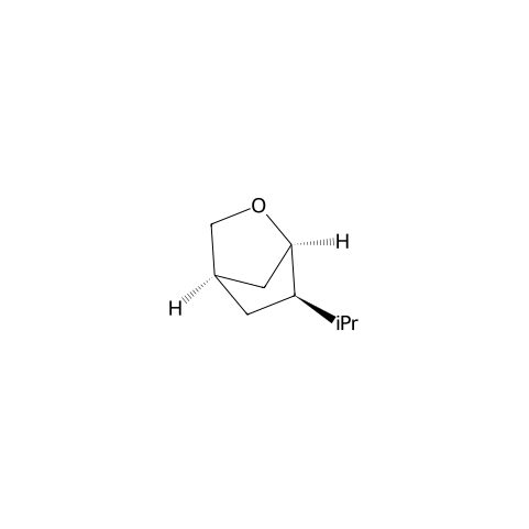 CC(C)[C@H]1C[C@H]2CO[C@@H]1C2